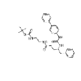 CC(C)(C)OC(=O)NCCNC(=O)CC[C@H](Cc1ccccc1)NC(=O)Nc1ccc(-c2ccccc2)cc1